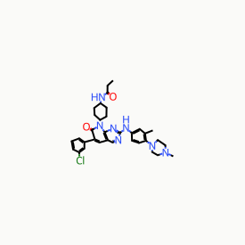 CCC(=O)N[C@H]1CC[C@H](n2c(=O)c(-c3cccc(Cl)c3)cc3cnc(Nc4ccc(N5CCN(C)CC5)c(C)c4)nc32)CC1